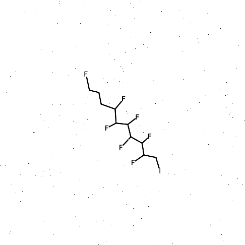 FCCCC(F)C(F)C(F)C(F)C(F)C(F)CI